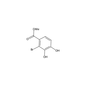 COC(=O)c1ccc(O)c(O)c1Br